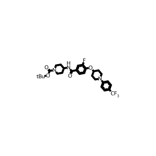 CC(C)(C)OC(=O)N1CCC(NC(=O)c2ccc(OC3CCN(c4ccc(C(F)(F)F)cc4)CC3)c(F)c2)CC1